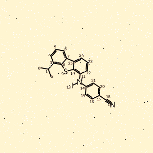 CC(C)c1cccc2c1sc1c(N(I)c3ccc(C#N)cc3)cccc12